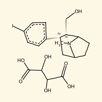 CN1C2CCC1[C@@H](CO)[C@@H](c1ccc(I)cc1)C2.O=C(O)C(O)C(O)C(=O)O